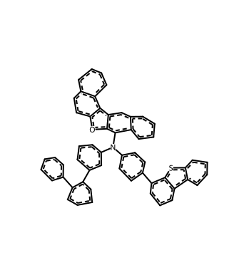 c1ccc(-c2ccccc2-c2cccc(N(c3ccc(-c4cccc5c4sc4ccccc45)cc3)c3c4ccccc4cc4c3oc3ccc5ccccc5c34)c2)cc1